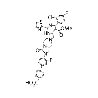 COC(=O)C1=C(CN2CCN3C(=O)N(c4ccc(-c5ccc(C(=O)O)cc5)cc4F)CC3C2)NC(c2nccs2)=NC1c1ccc(F)cc1Cl